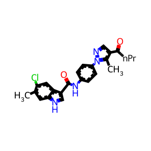 CCCC(=O)c1cnn(-c2ccc(NC(=O)c3c[nH]c4cc(C)c(Cl)cc34)cc2)c1C